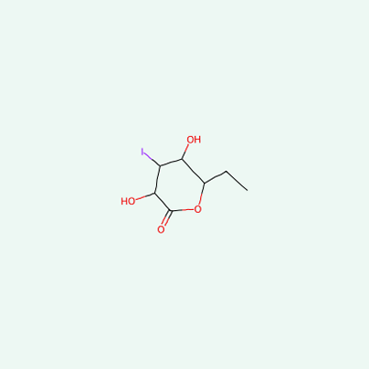 CCC1OC(=O)C(O)C(I)C1O